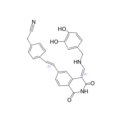 N#CCc1ccc(/C=C/c2ccc3c(c2)/C(=C\NCc2ccc(O)c(O)c2)C(=O)NC3=O)cc1